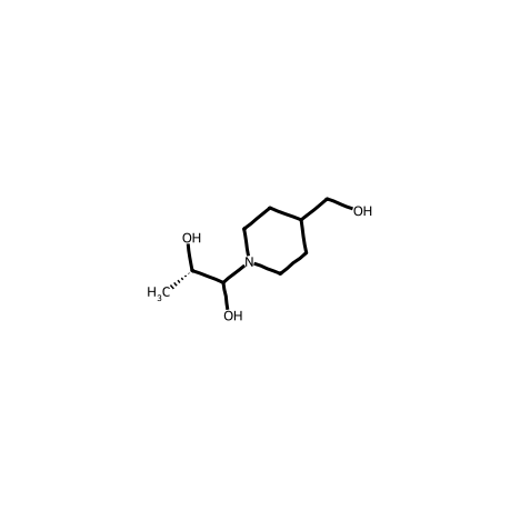 C[C@H](O)C(O)N1CCC(CO)CC1